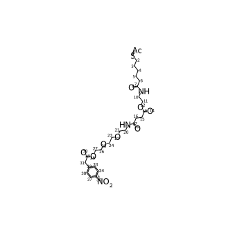 CC(=O)SCCCCCC(=O)NCCOC(=O)CCC(=O)NCCOCCOCCOC(=O)Cc1ccc([N+](=O)[O-])cc1